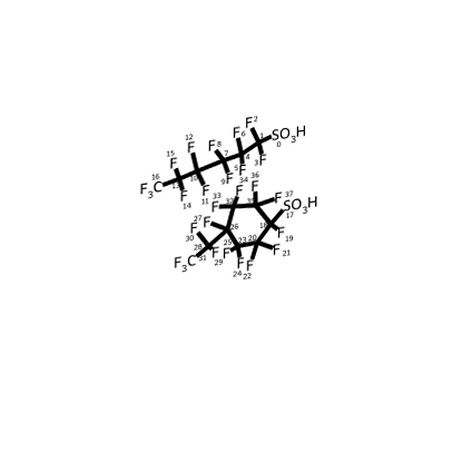 O=S(=O)(O)C(F)(F)C(F)(F)C(F)(F)C(F)(F)C(F)(F)C(F)(F)F.O=S(=O)(O)C1(F)C(F)(F)C(F)(F)C(F)(C(F)(F)C(F)(F)F)C(F)(F)C1(F)F